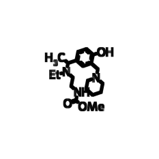 CCN(CCNC(=O)OC)C(C)c1ccc(O)c(CN2CCCCC2)c1